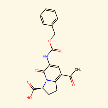 CC(=O)c1cc(NC(=O)OCc2ccccc2)c(=O)n2c1CC[C@H]2C(=O)O